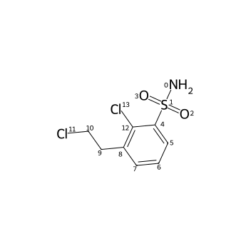 NS(=O)(=O)c1cccc(CCCl)c1Cl